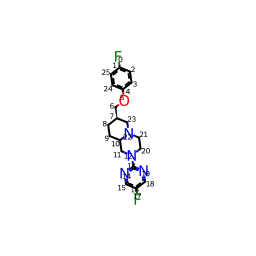 Fc1ccc(OC[C@@H]2CCC3CN(c4ncc(F)cn4)CCN3C2)cc1